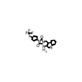 Nc1cnc2ccccc2c1CN1CC(=O)N(c2ccc(SC(F)(F)F)cc2)C1=O